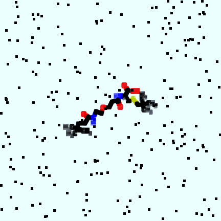 CC(C)(C)CCC(=O)NCCOCCC(=O)N[C@H](CSCC(C)(C)C)C(=O)O